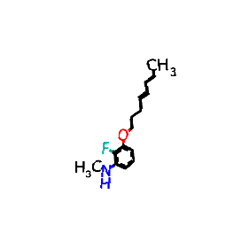 CCC/C=C/CCCOc1cccc(NC)c1F